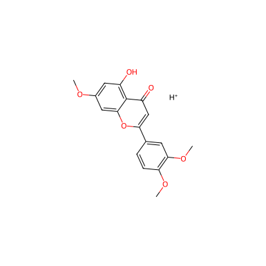 COc1cc(O)c2c(=O)cc(-c3ccc(OC)c(OC)c3)oc2c1.[H+]